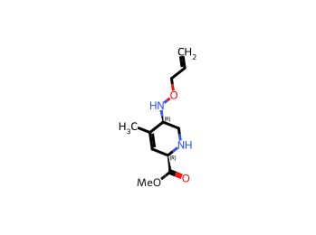 C=CCON[C@H]1CN[C@@H](C(=O)OC)C=C1C